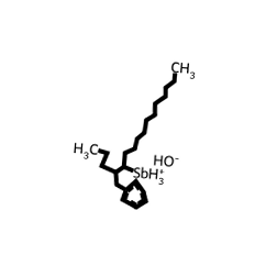 CCCCCCCCCCC[CH]([SbH3+])C(CCC)Cc1ccccc1.[OH-]